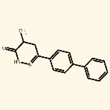 CC1CC(c2ccc(-c3ccccc3)cc2)=NNC1=O